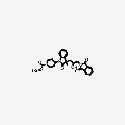 CC(C)(C)OC(=O)N1CCC(N2C(=O)C(C)(CC(O)CN3C(=O)c4ccccc4C3=O)c3ccccc32)CC1